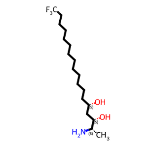 C[C@H](N)[C@@H](O)C[C@@H](O)CCCCCCCCCCCCC(F)(F)F